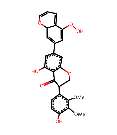 COc1c(O)ccc(C2COc3cc(C4=CC5OC=CC=C5C(OO)=C4)cc(O)c3C2=O)c1OC